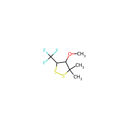 COC1C(C(F)(F)F)SSC1(C)C